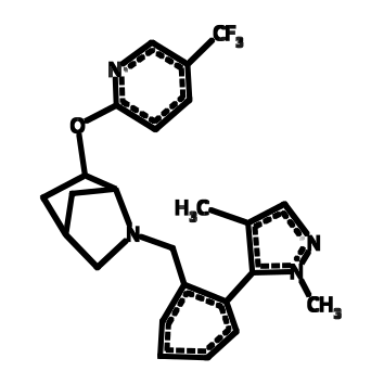 Cc1cnn(C)c1-c1ccccc1CN1CC2CC(Oc3ccc(C(F)(F)F)cn3)C1C2